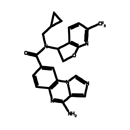 Nc1nc2ccc(C(=O)N(CC3CC3)C3COc4nc(C(F)(F)F)ccc43)cc2n2cncc12